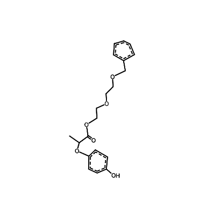 CC(Oc1ccc(O)cc1)C(=O)OCCOCCOCc1ccccc1